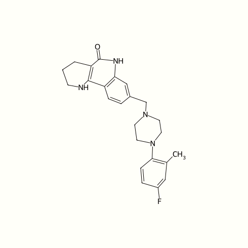 Cc1cc(F)ccc1N1CCN(Cc2ccc3c4c(c(=O)[nH]c3c2)CCCN4)CC1